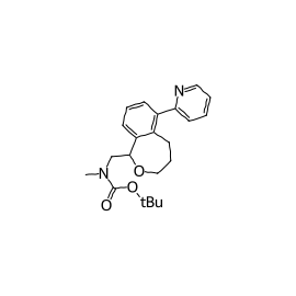 CN(CC1OCCCc2c(-c3ccccn3)cccc21)C(=O)OC(C)(C)C